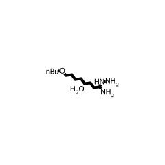 CCCCOCCCCCCCC(N)NN.O